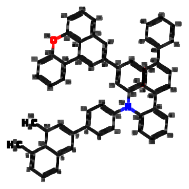 CC1=CC=CC2=CC(c3ccc(N(c4cccc(-c5cc6c7c(cccc7c5)Oc5ccccc5-6)c4)c4ccccc4-c4ccc(-c5ccccc5)cc4)cc3)=CC(C)C12